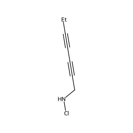 CCC#CC#CCNCl